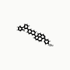 CC(C)(C)c1ccc(-c2ccc3ccc4c(-c5ccc6cc(-c7cccc8c7sc7ccccc78)ccc6c5)ccc5ccc2c3c54)cc1